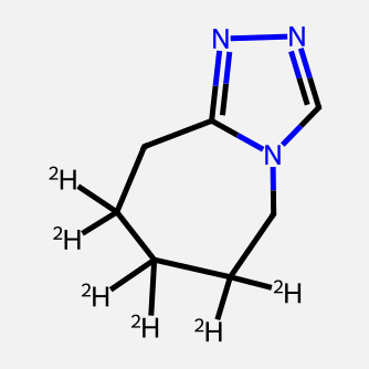 [2H]C1([2H])Cc2nncn2CC([2H])([2H])C1([2H])[2H]